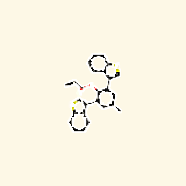 C=CC(=O)Oc1c(-c2csc3ccccc23)cc(C)cc1-c1csc2ccccc12